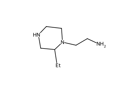 CCC1CNCCN1CCN